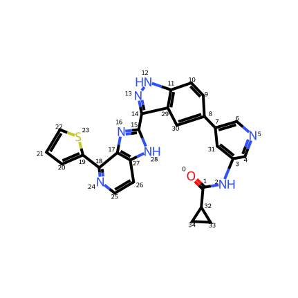 O=C(Nc1cncc(-c2ccc3[nH]nc(-c4nc5c(-c6cccs6)nccc5[nH]4)c3c2)c1)C1CC1